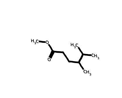 COC(=O)CCC(C)C(C)C